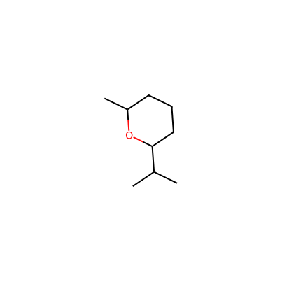 CC1CCCC(C(C)C)O1